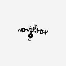 COc1ccc(CCN2C(=O)N(NS(=O)(=O)CC(=O)N3CCN(C(C)=O)CC3)CC2c2ccc(OC)cc2)cc1